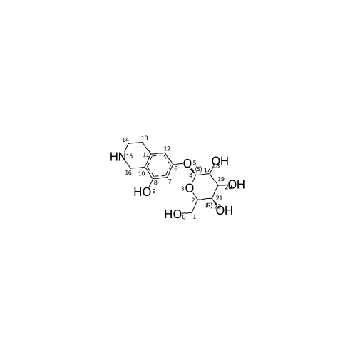 OCC1O[C@@H](Oc2cc(O)c3c(c2)CCNC3)C(O)C(O)[C@H]1O